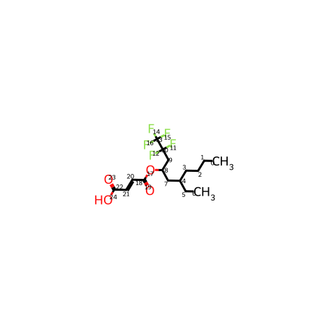 CCCCC(CC)CC(CC(F)(F)C(F)(F)F)OC(=O)/C=C/C(=O)O